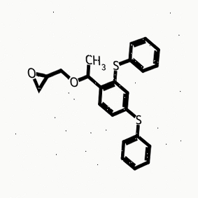 CC(OCC1CO1)c1ccc(Sc2ccccc2)cc1Sc1ccccc1